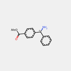 COC(=O)c1ccc([C@@H](N)c2ccccc2)cc1